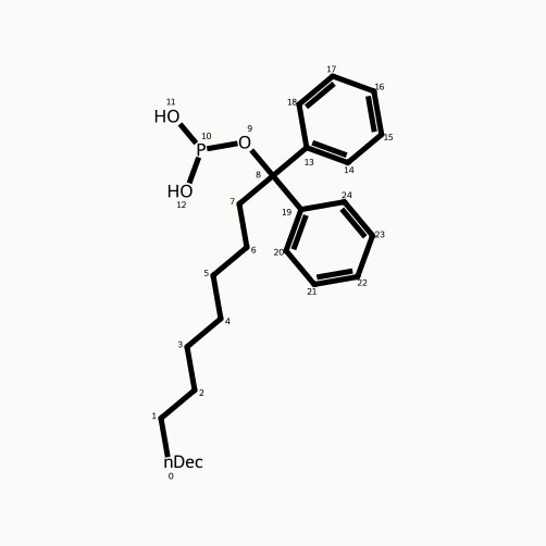 CCCCCCCCCCCCCCCCCC(OP(O)O)(c1ccccc1)c1ccccc1